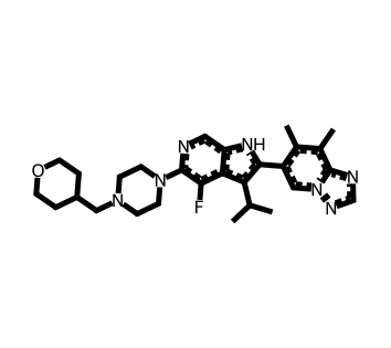 Cc1c(-c2[nH]c3cnc(N4CCN(CC5CCOCC5)CC4)c(F)c3c2C(C)C)cn2ncnc2c1C